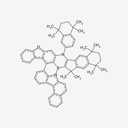 CC1(C)CCC(C)(C)c2cc(N3C4=C(B5c6c3cc3oc7ccccc7c3c6-c3cccc6c7c8ccccc8ccc7n5c36)C(C)(C)c3cc5c(cc34)C(C)(C)CCC5(C)C)ccc21